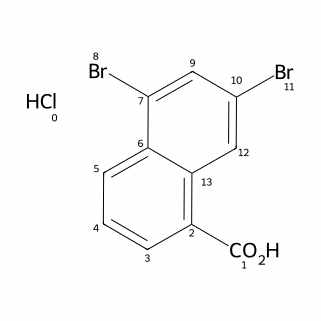 Cl.O=C(O)c1cccc2c(Br)cc(Br)cc12